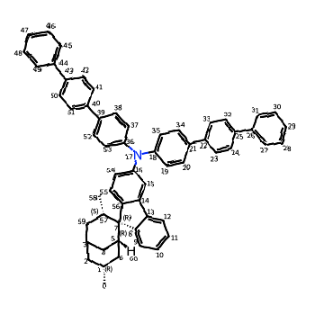 C[C@@H]1CC2C[C@@H](C1)[C@@]1(c3ccccc3-c3cc(N(c4ccc(-c5ccc(-c6ccccc6)cc5)cc4)c4ccc(-c5ccc(-c6ccccc6)cc5)cc4)ccc31)[C@@H](C)C2